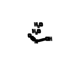 O.O.O=NO